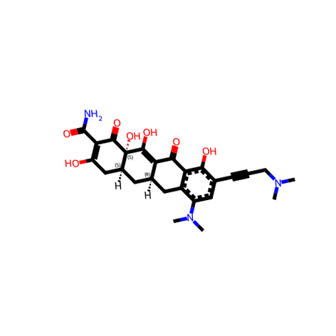 CN(C)CC#Cc1cc(N(C)C)c2c(c1O)C(=O)C1=C(O)[C@]3(O)C(=O)C(C(N)=O)=C(O)C[C@@H]3C[C@@H]1C2